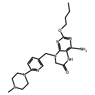 CCCCOc1nc(N)c2c(n1)N(Cc1ccc(N3CCN(C)CC3)nc1)CC(=O)N2